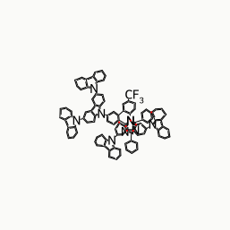 FC(F)(F)c1ccc(-n2c3ccc(-n4c5ccccc5c5ccccc54)cc3c3ccc(-n4c5ccccc5c5ccccc54)cc32)c(-c2cc(-n3c4ccc(-n5c6ccccc6c6ccccc65)cc4c4cc(-n5c6ccccc6c6ccccc65)ccc43)ccc2-c2nc(-c3ccccc3)nc(-c3ccccc3)n2)c1